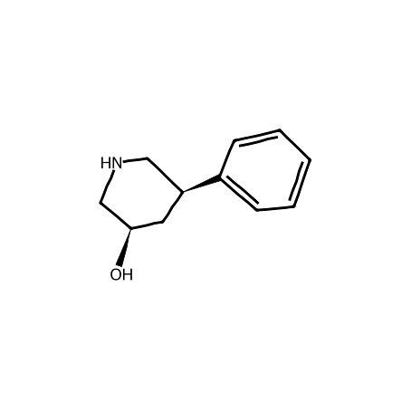 O[C@H]1CNC[C@@H](c2ccccc2)C1